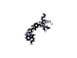 B/C=C(/C=C\C=C/C)c1nc(/C(C=C)=C/C=C)nc(-c2ccc3sc(C(=C/C)/C=C(\C=B/C)n4c(C)c(/C=C\C=C)c(/C=C\C)c4C=C)nc3c2)n1